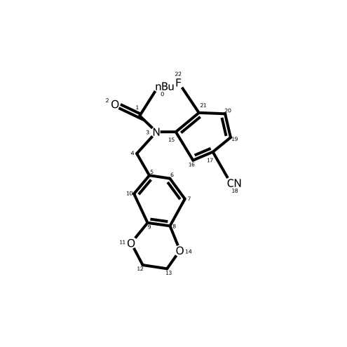 CCCCC(=O)N(Cc1ccc2c(c1)OCCO2)c1cc(C#N)ccc1F